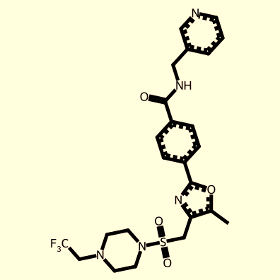 Cc1oc(-c2ccc(C(=O)NCc3cccnc3)cc2)nc1CS(=O)(=O)N1CCN(CC(F)(F)F)CC1